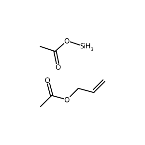 C=CCOC(C)=O.CC(=O)O[SiH3]